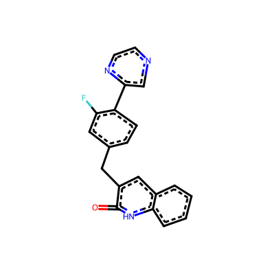 O=c1[nH]c2ccccc2cc1Cc1ccc(-c2cnccn2)c(F)c1